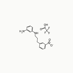 Nc1cccc(NCCCc2cccc([N+](=O)[O-])c2)c1.O=C(O)C(F)(F)F